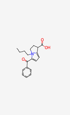 CCCC[N+]12CCC(C(=O)O)C1=CC=C2C(=O)c1ccccc1